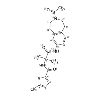 CC(C)(NC(=O)c1ccc(Cl)s1)C(=O)Nc1ccc2c(c1)CCN(C(=O)C(F)(F)F)CC2